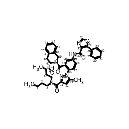 CCCCN(CCCC)C(=O)c1cc(C)n(-c2ccc(NC(=O)c3ncoc3-c3ccccc3)cc2C(=O)N2Cc3ccccc3C[C@H]2CO)n1